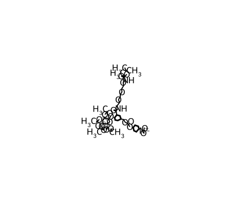 COC(=O)[C@H]1OC(Oc2ccc(COC(=O)Oc3ccc([N+](=O)[O-])cc3)cc2C(=O)NCCOCCOCCONC(=O)OC(C)(C)C)[C@H](OC(C)=O)C(OC(C)=O)[C@@H]1OC(C)=O